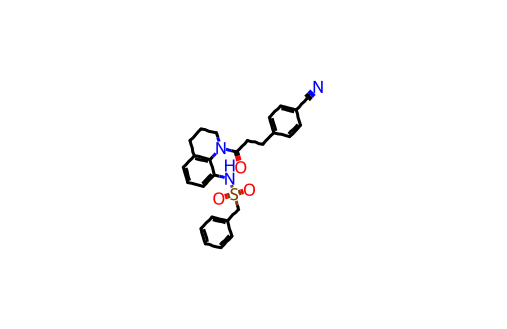 N#Cc1ccc(CCC(=O)N2CCCc3cccc(NS(=O)(=O)Cc4ccccc4)c32)cc1